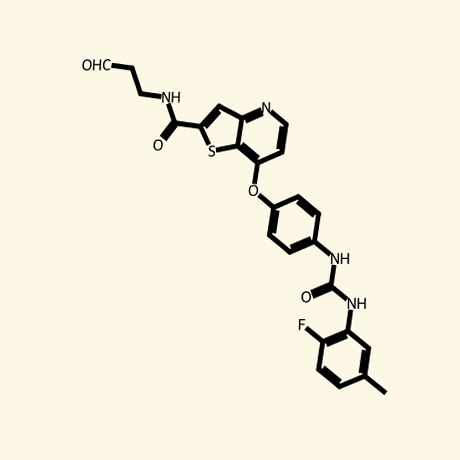 Cc1ccc(F)c(NC(=O)Nc2ccc(Oc3ccnc4cc(C(=O)NCCC=O)sc34)cc2)c1